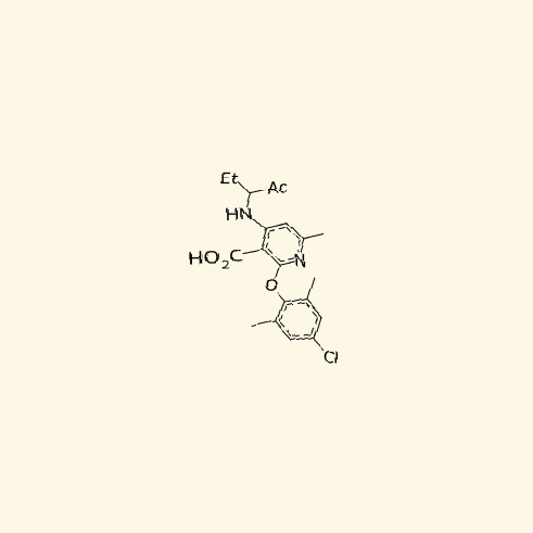 CCC(Nc1cc(C)nc(Oc2c(C)cc(Cl)cc2C)c1C(=O)O)C(C)=O